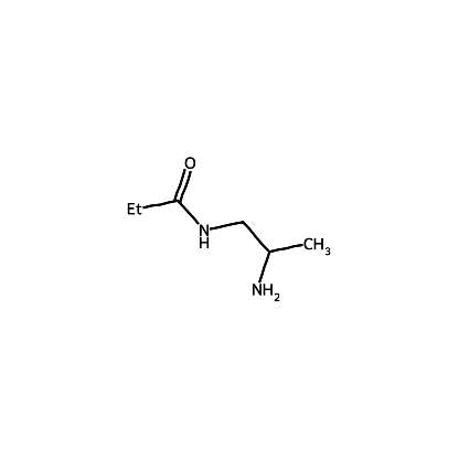 CCC(=O)NCC(C)N